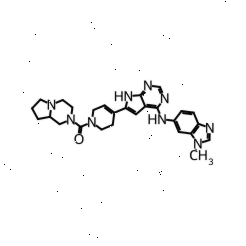 Cn1cnc2ccc(Nc3ncnc4[nH]c(C5=CCN(C(=O)N6CCN7CCCC7C6)CC5)cc34)cc21